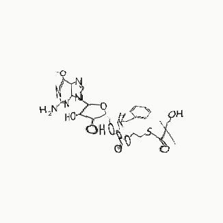 COC1=NC(N)=NC2C1N=CN2C1O[C@H](COP(=O)(NCc2ccccc2)OCCSC(=O)C(C)(C)CO)C(O)[C@H]1O